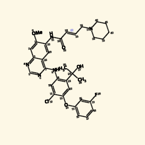 COc1cc2ncnc(Nc3cc(Cl)c(Oc4cccc(F)c4)cc3C(C)(C)O)c2cc1NC(=O)/C=C/CN1CCCCC1